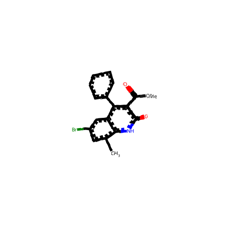 COC(=O)c1c(-c2ccccc2)c2cc(Br)cc(C)c2[nH]c1=O